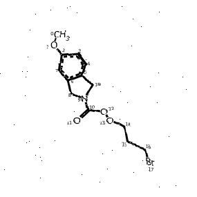 COc1ccc2c(c1)CN(C(=O)OOCCCBr)C2